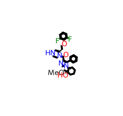 COC[C@]1(O)CCCC[C@H]1n1cnc(C(=O)N2CCNC[C@H]2CCOc2c(F)cccc2F)c1-c1ccccc1